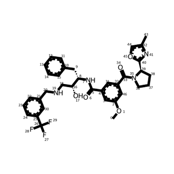 COc1cc(C(=O)N[C@@H](Cc2ccccc2)[C@H](O)CNCc2cccc(C(F)(F)F)c2)cc(C(=O)N2CCC[C@@H]2c2nc(C)co2)c1